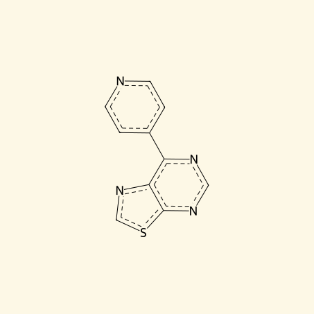 c1cc(-c2ncnc3scnc23)ccn1